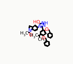 CC(=O)n1ccc2cc(N3C(c4cc(C(C)C)c(OCc5ccccc5)cc4OCc4ccccc4)=NNC3O)ccc21